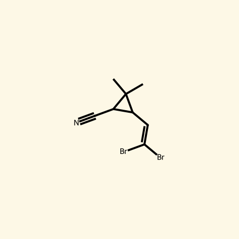 CC1(C)C(C#N)C1C=C(Br)Br